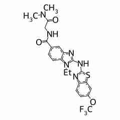 CCn1c(Nc2nc3ccc(OC(F)(F)F)cc3s2)nc2cc(C(=O)NCC(=O)N(C)C)ccc21